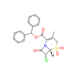 CC1=C(C(=O)OC(c2ccccc2)c2ccccc2)N2C(=O)[C@H](Cl)[C@H]2S(=O)(=O)C1